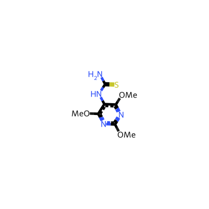 COc1nc(OC)c(NC(N)=S)c(OC)n1